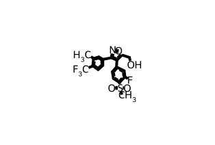 Cc1cc(-c2noc(CO)c2-c2ccc(S(C)(=O)=O)c(F)c2)ccc1C(F)(F)F